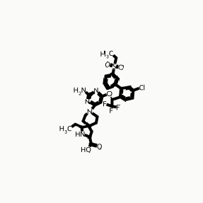 CCC1NC(C(=O)O)CC12CCN(c1cc(O[C@H](c3ccc(Cl)cc3-c3cccc(S(=O)(=O)CC)c3)C(F)(F)F)nc(N)n1)CC2